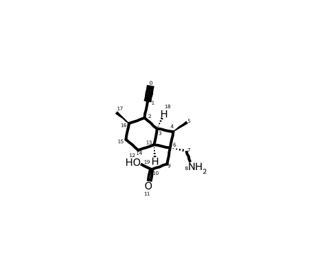 C#CC1[C@H]2[C@@H](C)[C@@](CN)(CC(=O)O)[C@H]2CC[C@H]1C